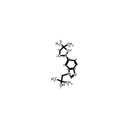 CC(C)(O)Cn1cnc2ccc(B3OCC(C)(C)O3)cc21